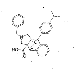 CC(C)c1ccc(C23CCC(c4ccccc42)C2(C(=O)O)CN(Cc4ccccc4)CC32)cc1